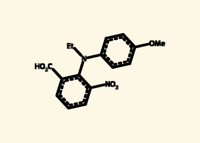 CCN(c1ccc(OC)cc1)c1c(C(=O)O)cccc1[N+](=O)[O-]